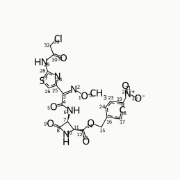 CON=C(C(=O)N[C@@H]1C(=O)N[C@@H]1C(=O)OCc1ccc([N+](=O)[O-])cc1)c1csc(NC(=O)CCl)n1